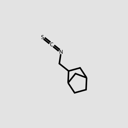 S=C=NCC1CC2CCC1C2